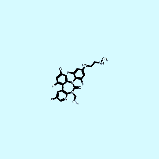 CCN1C(=O)N(c2c(F)cc(NCCNC)cc2F)c2cc(Cl)cc(F)c2-c2cc(F)cnc21